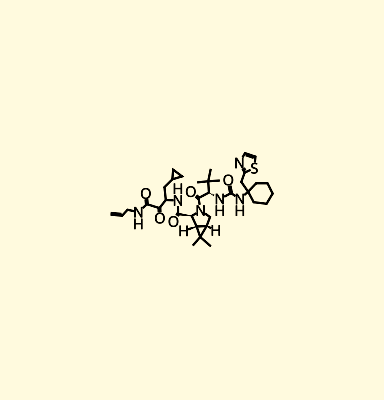 C=CCNC(=O)C(=O)C(CC1CC1)NC(=O)[C@@H]1[C@@H]2[C@H](CN1C(=O)[C@@H](NC(=O)NC1(Cc3nccs3)CCCCC1)C(C)(C)C)C2(C)C